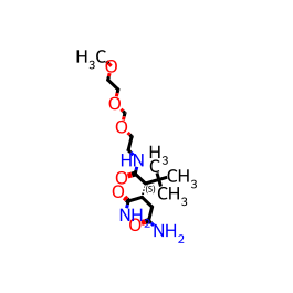 COCCOCOCCNC(=O)[C@@H](C(CC(N)=O)C(N)=O)C(C)(C)C